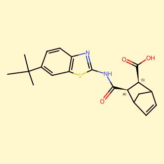 CC(C)(C)c1ccc2nc(NC(=O)[C@@H]3C4C=CC(C4)[C@@H]3C(=O)O)sc2c1